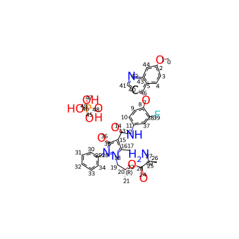 COc1ccc2c(Oc3ccc(NC(=O)c4c(C)n(C[C@@H](C)OC(=O)[C@H](C)N)n(-c5ccccc5)c4=O)cc3F)ccnc2c1.O=P(O)(O)O